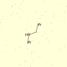 [CH2]C(C)NCC(C)C